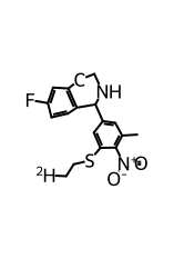 [2H]CCSc1cc(C2NCCc3cc(F)ccc32)cc(C)c1[N+](=O)[O-]